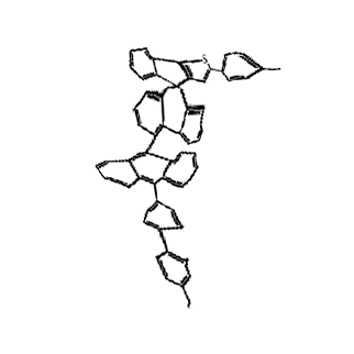 Cc1ccc(-c2ccc(-c3c4ccccc4c(-c4cccc5c4-c4ccccc4C54c5ccccc5-c5sc(-c6ccc(C)cc6)cc54)c4ccccc34)cc2)cc1